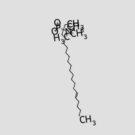 CCCCCC=CCCCCCCCCCCCCCC(CC)(P(=O)=O)[N+](C)(C)C